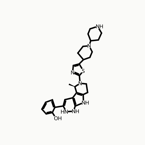 C[C@@H]1c2c([nH]c3c2C=C(c2ccccc2O)NN3)CCN1c1ncc(C2CCN(C3CCNCC3)CC2)s1